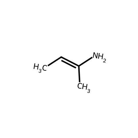 C/C=C(\C)N